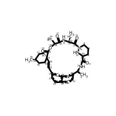 CC1NC(=O)[C@@H]2CCCN(N2)C(=O)[C@H](C)NC(=O)C(C(C)C)OC(=O)[C@]2(/C=C/c3ccc4ccc1nc4c3)CC[C@H](C)CC2